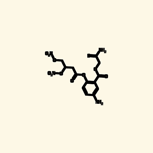 NC(=S)COC(=O)c1cc(N)ccc1OC(=O)CC(CO[N+](=O)[O-])O[N+](=O)[O-]